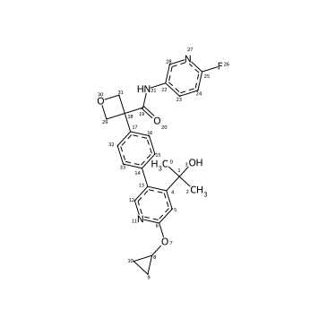 CC(C)(O)c1cc(OC2CC2)ncc1-c1ccc(C2(C(=O)Nc3ccc(F)nc3)COC2)cc1